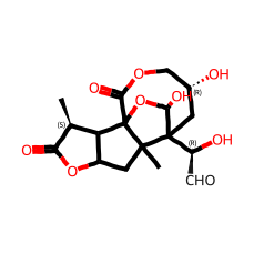 C[C@@H]1C(=O)OC2CC3(C)C4(OC(O)C3([C@@H](O)C=O)C[C@@H](O)COC4=O)C21